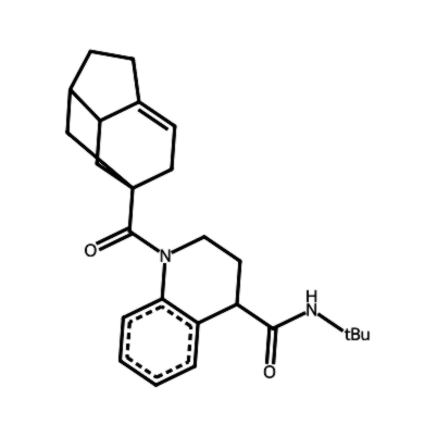 CC(C)(C)NC(=O)C1CCN(C(=O)C23CC=C4CCC(C2)C4C3)c2ccccc21